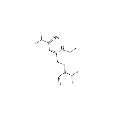 C=CN(CC/C(=C/C(=N)C(C)C)NCC)C(C)C